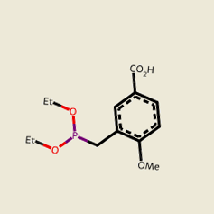 CCOP(Cc1cc(C(=O)O)ccc1OC)OCC